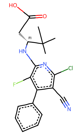 CC(C)(C)[C@@H](CC(=O)O)Nc1nc(Cl)c(C#N)c(-c2ccccc2)c1F